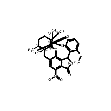 COc1ccccc1C1NC(=O)c2c([N+](=O)[O-])cc3c(c21)O[C@@]12CC(N)C(=O)C(C)(C)[C@@H]1CC[C@H](C)[C@@]2(C)C3